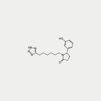 O=C1CCC(c2cccc(O)c2)N1CCCCCCc1nn[nH]n1